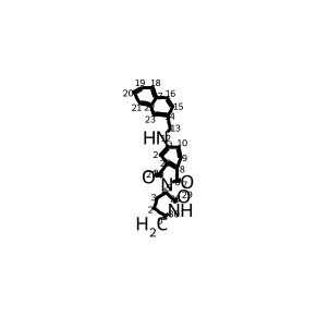 C=C1CCC(N2C(=O)c3ccc(NCc4ccc5ccccc5c4)cc3C2=O)C(=O)N1